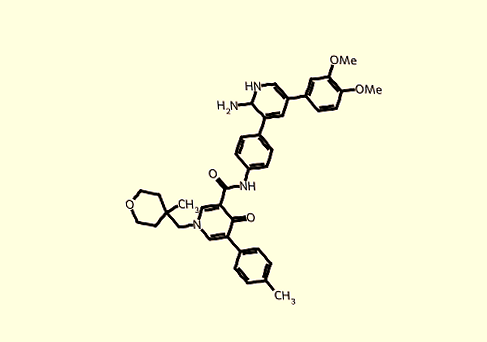 COc1ccc(C2=CNC(N)C(c3ccc(NC(=O)c4cn(CC5(C)CCOCC5)cc(-c5ccc(C)cc5)c4=O)cc3)=C2)cc1OC